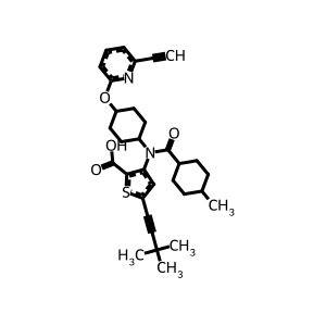 C#Cc1cccc(OC2CCC(N(C(=O)C3CCC(C)CC3)c3cc(C#CC(C)(C)C)sc3C(=O)O)CC2)n1